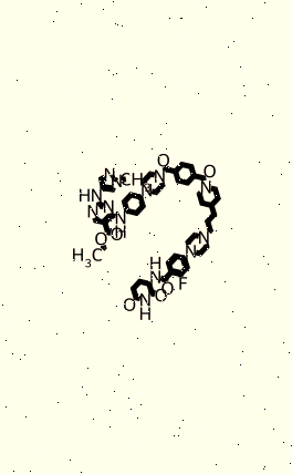 CCOC(=O)c1cnc(Nc2cnn(C)c2)nc1NC1CCC(N2CCN(C(=O)C3CCC(C(=O)N4CCC(CCCN5CCN(c6ccc(C(=O)NC7CCC(=O)NC7=O)c(F)c6)CC5)CC4)CC3)CC2)CC1